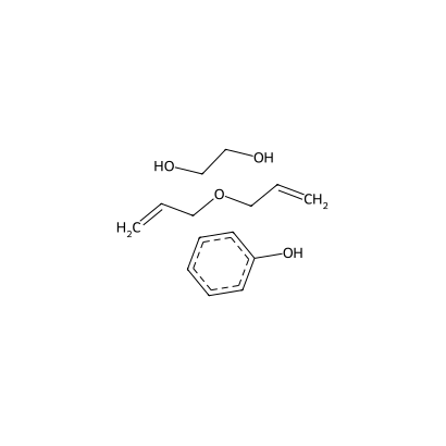 C=CCOCC=C.OCCO.Oc1ccccc1